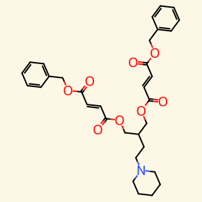 O=C(/C=C/C(=O)OCC(CCN1CCCCC1)COC(=O)/C=C/C(=O)OCc1ccccc1)OCc1ccccc1